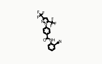 N#Cc1ccccc1NC(=O)c1ccc(-n2nc(C(F)(F)F)cc2C(F)(F)F)cc1